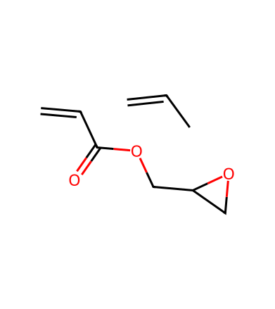 C=CC.C=CC(=O)OCC1CO1